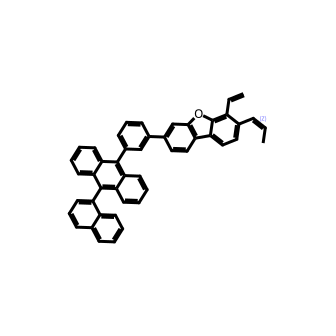 C=Cc1c(/C=C\C)ccc2c1oc1cc(-c3cccc(-c4c5ccccc5c(-c5cccc6ccccc56)c5ccccc45)c3)ccc12